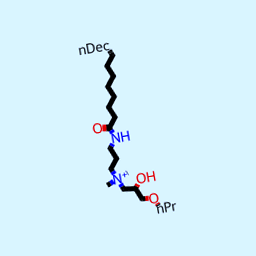 CCCCCCCCCCCCCCCCCC(=O)NCCC[N+](C)(C)CC(O)COCCC